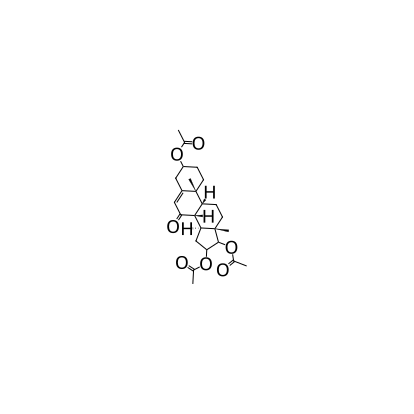 CC(=O)OC1CC[C@@]2(C)C(=CC(=O)[C@@H]3[C@H]2CC[C@]2(C)C(OC(C)=O)C(OC(C)=O)C[C@@H]32)C1